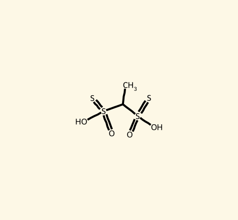 CC(S(=O)(O)=S)S(=O)(O)=S